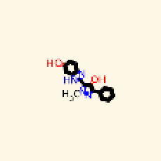 Cn1nc(-c2ccccc2)c(O)c1-c1nc2ccc(O)cc2[nH]1